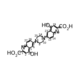 O=C(O)c1cc(O)c2cc(N3CCN(c4ccc5nc(C(=O)O)cc(O)c5c4)CC3)ccc2n1